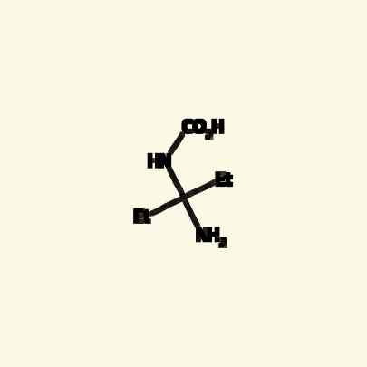 CCC(N)(CC)NC(=O)O